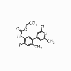 Cc1cc(-c2cc(NC(=O)OCC(Cl)(Cl)Cl)c(F)cc2C)cc(Cl)n1